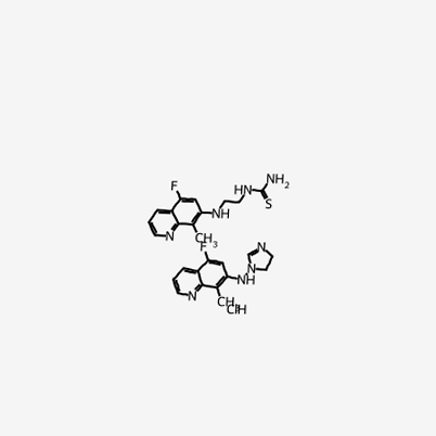 Cc1c(NCCNC(N)=S)cc(F)c2cccnc12.Cc1c(NN2C=NCC2)cc(F)c2cccnc12.Cl